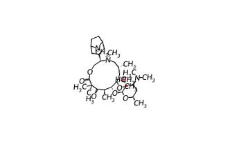 CO[C@]1(C)C[C@@H](C)CN(C)[C@H](C2CC3CCC(C2)N3C)COC(=O)C(C)(C)C(=O)[C@H](C)[C@H]1O[C@@H]1O[C@H](C)C[C@H](N(C)C)[C@H]1O